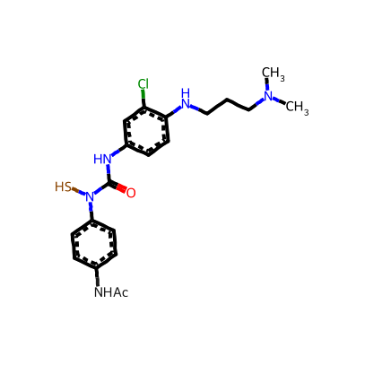 CC(=O)Nc1ccc(N(S)C(=O)Nc2ccc(NCCCN(C)C)c(Cl)c2)cc1